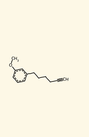 C#CCCCCc1cccc(OC)c1